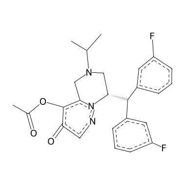 CC(=O)Oc1c2n(ncc1=O)[C@@H](C(c1cccc(F)c1)c1cccc(F)c1)CN(C(C)C)C2